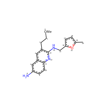 COCCc1cc2cc(N)ccc2nc1NCc1ccc(C)o1